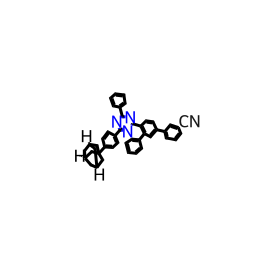 N#Cc1cccc(-c2ccc(-c3nc(-c4ccccc4)nc(-c4ccc(C56C[C@H]7C[C@@H](C5)C[C@@H](C6)C7)cc4)n3)c(-c3ccccc3)c2)c1